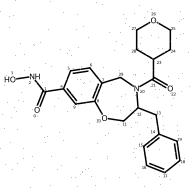 O=C(NO)c1ccc2c(c1)OCC(Cc1ccccc1)N(C(=O)C1CCOCC1)C2